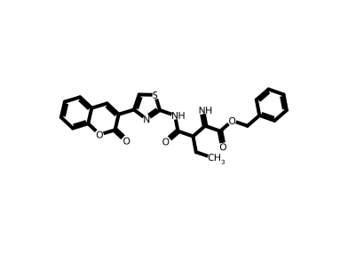 CCC(C(=N)C(=O)OCc1ccccc1)C(=O)Nc1nc(-c2cc3ccccc3oc2=O)cs1